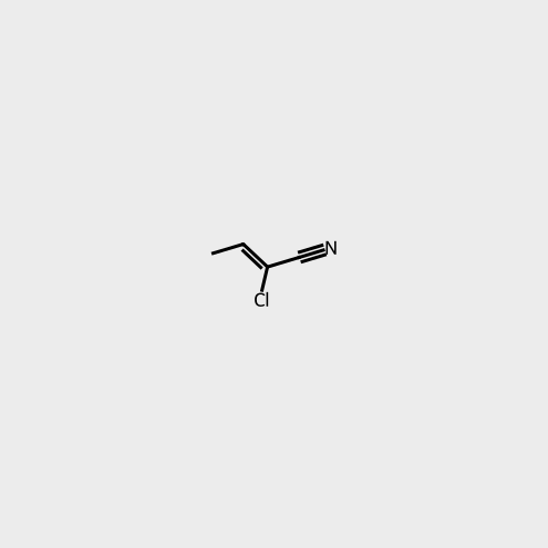 CC=C(Cl)C#N